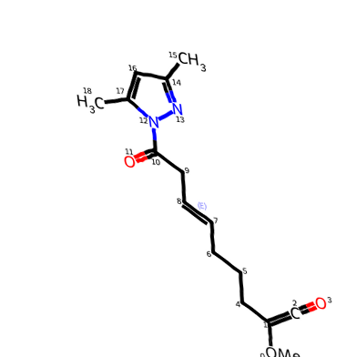 COC(=C=O)CCC/C=C/CC(=O)n1nc(C)cc1C